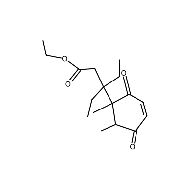 CCOC(=O)CC(CC)(CC)C1(C)C(=O)C=CC(=O)C1C